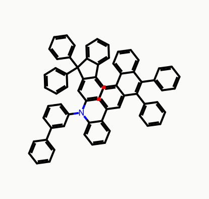 c1ccc(-c2cccc(N(c3ccc4c(c3)C(c3ccccc3)(c3ccccc3)c3ccccc3-4)c3ccccc3-c3ccc4c(c3)c(-c3ccccc3)c(-c3ccccc3)c3ccccc34)c2)cc1